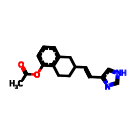 CC(=O)Oc1cccc2c1CCC(C=Cc1c[nH]cn1)C2